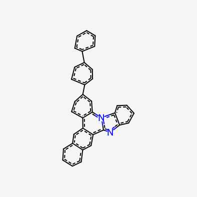 c1ccc(-c2ccc(-c3ccc4c5cc6ccccc6cc5c5nc6ccccc6n5c4c3)cc2)cc1